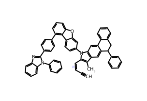 C#C/C=C\c1c(C)c2cc3c(cc2n1-c1ccc2c(c1)oc1cccc(-c4ccc(-c5nc6ccccc6n5-c5ccccc5)cc4)c12)-c1ccccc1CC3c1ccccc1